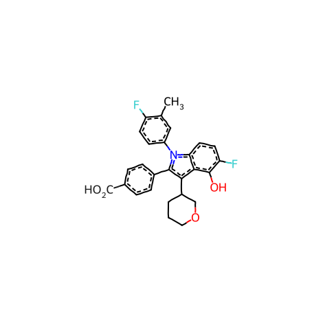 Cc1cc(-n2c(-c3ccc(C(=O)O)cc3)c(C3CCCOC3)c3c(O)c(F)ccc32)ccc1F